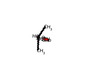 CCCCCCCCCCCCOP(O)(=S)SCCCCCCCCCCCC.O=P(O)(O)O.[Mo].[Zn]